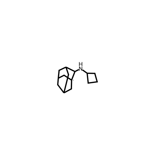 C1CC(NC2[C]3CC4CC(C3)CC2C4)C1